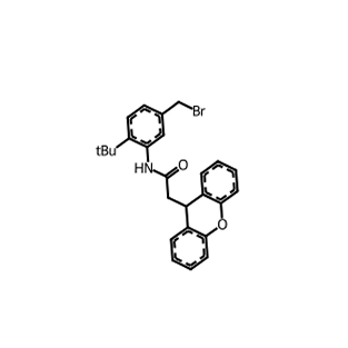 CC(C)(C)c1ccc(CBr)cc1NC(=O)CC1c2ccccc2Oc2ccccc21